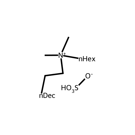 CCCCCCCCCCCC[N+](C)(C)CCCCCC.O=S(=O)([O-])O